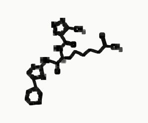 CC(=O)CCCCC[C@H](NC(=O)c1snnc1C)C(=O)Nc1nc(-c2ccccc2)cs1